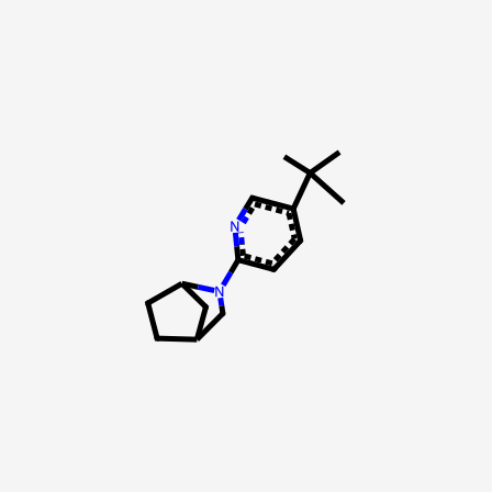 CC(C)(C)c1ccc(N2CC3CCC2C3)nc1